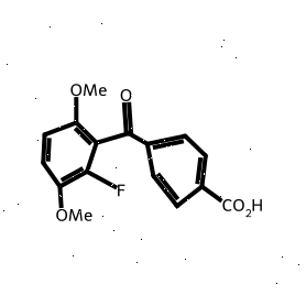 COc1ccc(OC)c(C(=O)c2ccc(C(=O)O)cc2)c1F